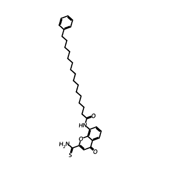 NC(=S)c1cc(=O)c2cccc(NC(=O)CCCCCCCCCCCCCCCc3ccccc3)c2o1